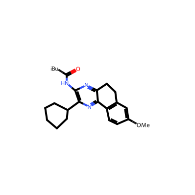 CCC(C)C(=O)Nc1nc2c(nc1C1CCCCC1)-c1ccc(OC)cc1CC2